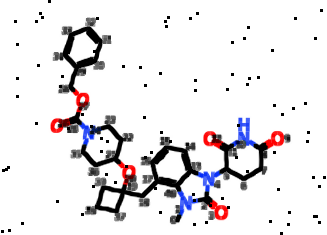 Cn1c(=O)n(C2CCC(=O)NC2=O)c2cccc(CC3(OC4CCN(C(=O)OCc5ccccc5)CC4)CCC3)c21